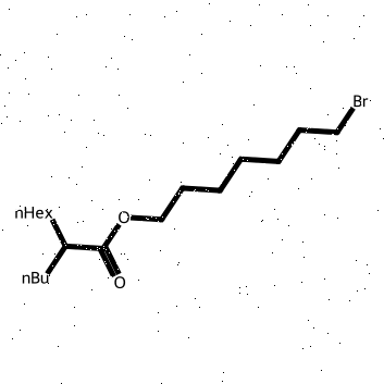 CCCCCCC(CCCC)C(=O)OCCCCCCCBr